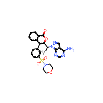 CC(c1oc(=O)c2ccccc2c1-c1cccc(S(=O)(=O)N2CCOCC2)c1)n1ncc2c(N)ncnc21